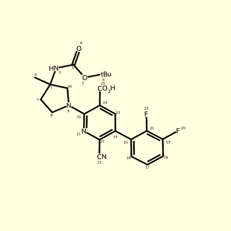 CC1(NC(=O)OC(C)(C)C)CCN(c2nc(C#N)c(-c3cccc(F)c3F)cc2C(=O)O)C1